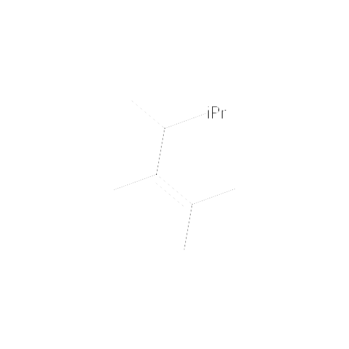 CC(C)=C(C)C(C)C(C)C